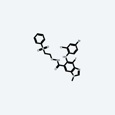 Cn1cnc2c(F)c(Nc3ccc(Br)cc3Cl)c(C(=O)NOCCS(=O)(=O)c3ccccc3)cc21